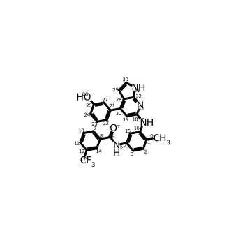 Cc1ccc(NC(=O)c2cccc(C(F)(F)F)c2)cc1Nc1cc(-c2cccc(O)c2)c2cc[nH]c2n1